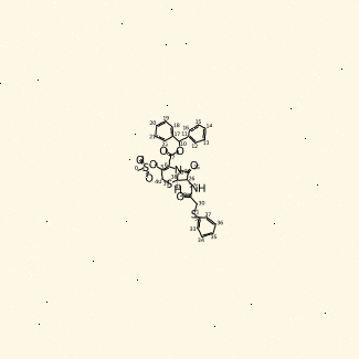 CS(=O)(=O)OC1=C(C(=O)OC(c2ccccc2)c2ccccc2)N2C(=O)[C@@H](NC(=O)CSc3ccccc3)[C@H]2SC1